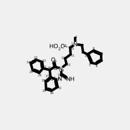 CN(CCc1ccccc1)[C@H](CCCN(C(=N)N)C(=O)C(c1ccccc1)c1ccccc1)C(=O)O